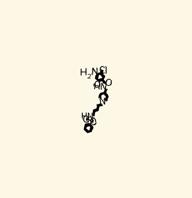 COc1cc(N)c(Cl)cc1C(=O)NCC1CCN(CCCCCNS(=O)(=O)c2ccccc2)CC1